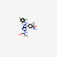 C[C@@H](CO)Nc1ncc2nc(Nc3c(F)cc(F)cc3Cl)n([C@H]3CC[C@](C)(C(N)=O)CC3)c2n1